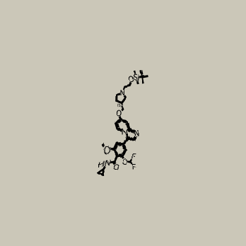 COc1cc(-c2cnc3cc(OC[C@H]4CCN(CCO[Si](C)(C)C(C)(C)C)C4)ccn23)cc(OC(F)F)c1C(=O)NC1CC1